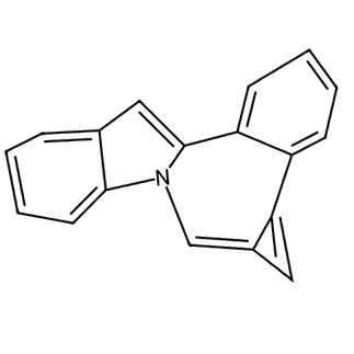 C1=C2C=C2c2ccccc2-c2cc3ccccc3n21